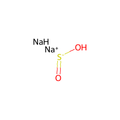 O=[S-]O.[Na+].[NaH]